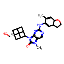 CC1=CC2OCCC2C=C1Nc1ncc2c(n1)n(C1C3CC4C[C@]5(CO)CC1C435)c(=O)n2C